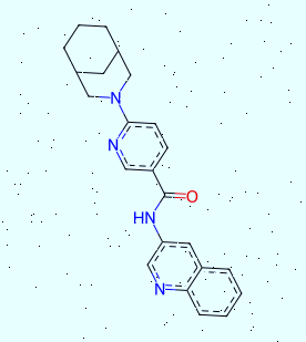 O=C(Nc1cnc2ccccc2c1)c1ccc(N2CC3CCCC(C3)C2)nc1